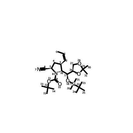 C/C=C\[C@@H]1C[C@H](C#N)N(C(=O)OC(C)(C)C)[C@H]1[C@H](O[Si](C)(C)C(C)(C)C)[C@H]1COC(C)(C)O1